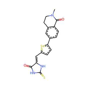 CN1CCc2cc(-c3ccc(/C=C4\NC(=S)NC4=O)s3)ccc2C1=O